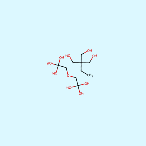 CCC(CO)(CO)CO.OC(O)(O)COCC(O)(O)O